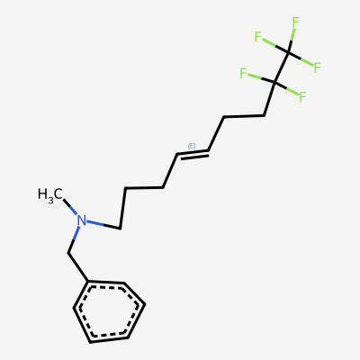 CN(CCC/C=C/CCC(F)(F)C(F)(F)F)Cc1ccccc1